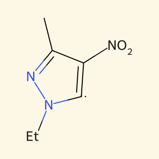 CCn1[c]c([N+](=O)[O-])c(C)n1